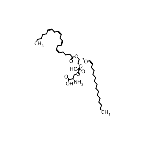 CCCCC/C=C\C/C=C\C/C=C\C/C=C\CCCC(=O)O[C@H](CO/C=C\CCCCCCCCCCCCCC)COP(=O)(O)OC[C@H](N)C(=O)O